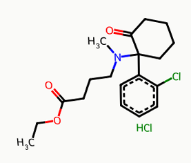 CCOC(=O)CCCN(C)C1(c2ccccc2Cl)CCCCC1=O.Cl